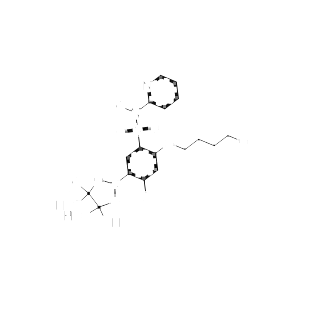 CN(c1ccccn1)S(=O)(=O)c1cc(B2OC(C)(C)C(C)(C)O2)c(Cl)cc1OCCCCO